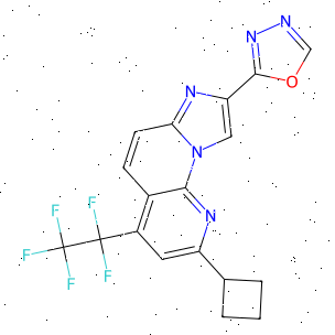 FC(F)(F)C(F)(F)c1cc(C2CCC2)nc2c1ccc1nc(-c3nnco3)cn12